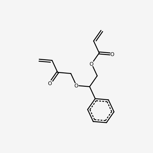 C=CC(=O)COC(COC(=O)C=C)c1ccccc1